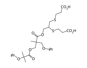 CC(C)OCC(C)(COC(=O)C(C)(C)OC(C)C)C(=O)OCC(CSCCC(=O)O)SCCC(=O)O